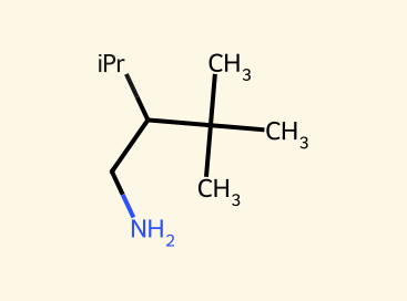 CC(C)C(CN)C(C)(C)C